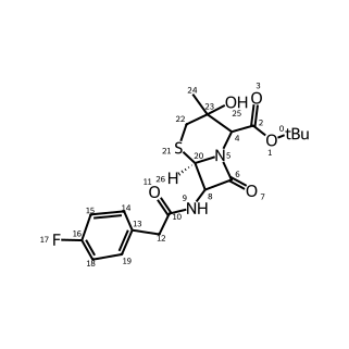 CC(C)(C)OC(=O)C1N2C(=O)C(NC(=O)Cc3ccc(F)cc3)[C@H]2SCC1(C)O